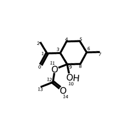 C=C(C)C1CCC(C)CC1(O)OC(C)=O